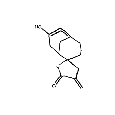 C=C1CC2(CCC3=C=C(O)CC2C3)OC1=O